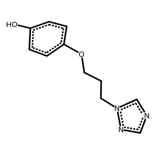 Oc1ccc(OCCCn2cncn2)cc1